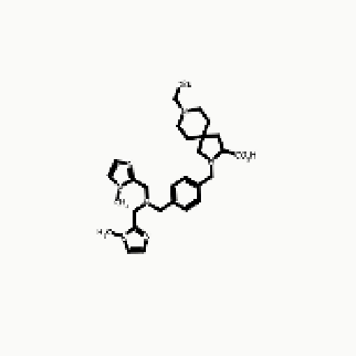 Cn1ccnc1CN(Cc1ccc(CN2CC3(CCN(CC(C)(C)C)CC3)CC2C(=O)O)cc1)Cc1nccn1C